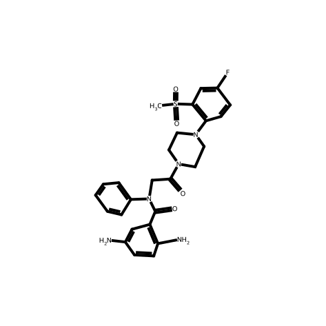 CS(=O)(=O)c1cc(F)ccc1N1CCN(C(=O)CN(C(=O)c2cc(N)ccc2N)c2ccccc2)CC1